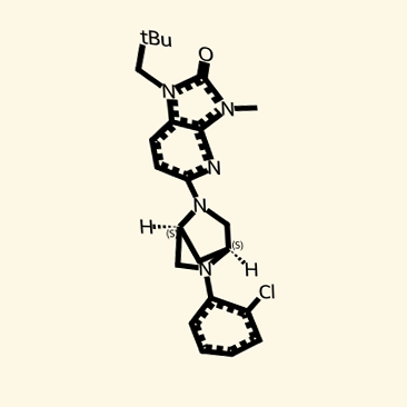 Cn1c(=O)n(CC(C)(C)C)c2ccc(N3C[C@@H]4C[C@H]3CN4c3ccccc3Cl)nc21